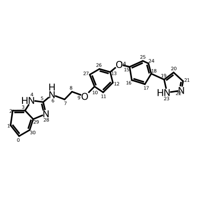 c1ccc2[nH]c(NCCOc3ccc(Oc4ccc(-c5ccn[nH]5)cc4)cc3)nc2c1